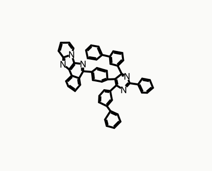 c1ccc(-c2cccc(-c3nc(-c4ccccc4)nc(-c4cccc(-c5ccccc5)c4)c3-c3ccc(-c4nc5c(nc6ccccn65)c5ccccc45)cc3)c2)cc1